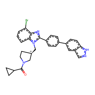 O=C(C1CC1)N1CC[C@@H](Cn2c(-c3ccc(-c4ccc5[nH]ncc5c4)cc3)nc3c(Br)cccc32)C1